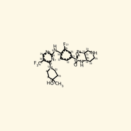 CC1(O)CCN(c2nc(Nc3ccc(S(=O)(=O)N[C@@H]4CCNC[C@@H]4F)cc3F)ncc2C(F)(F)F)CC1